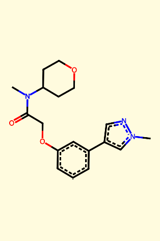 CN(C(=O)COc1c[c]cc(-c2cnn(C)c2)c1)C1CCOCC1